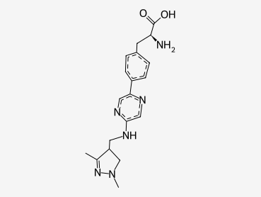 CC1=NN(C)CC1CNc1cnc(-c2ccc(C[C@H](N)C(=O)O)cc2)cn1